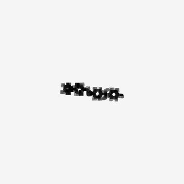 Cc1ccc(C(C)(C)c2ccc(OCc3cnc(-n4nccn4)cn3)cc2)cc1